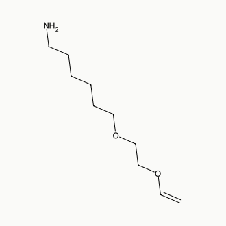 C=COCCOCCCCCCN